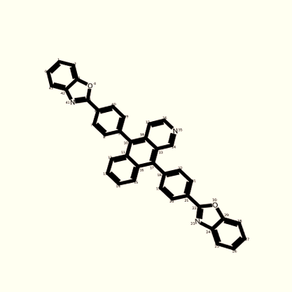 c1ccc2oc(-c3ccc(-c4c5ccccc5c(-c5ccc(-c6nc7ccccc7o6)cc5)c5cnccc45)cc3)nc2c1